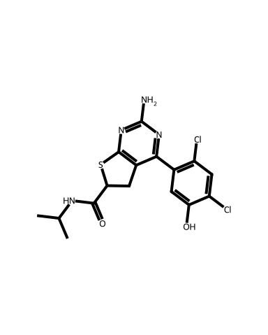 CC(C)NC(=O)C1Cc2c(nc(N)nc2-c2cc(O)c(Cl)cc2Cl)S1